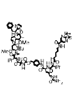 CC[C@H](C)[C@@H]([C@@H](CC(=O)N1CCC[C@H]1[C@H](OC)[C@@H](C)C(=O)N[C@@H](Cc1ccccc1)c1nccs1)OC)N(C)C(=O)[C@@H](NC(=O)C(C)(C)NC(=O)OCc1ccc(NC(=O)[C@H](CCCNC(N)=O)NC(=O)[C@@H](NC(=O)CCCCCNC(=O)c2cnc(S(C)(=O)=O)nc2)C(C)C)cc1)C(C)C